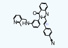 Cc1ncccc1CNc1cccc(-n2c(/C=C/c3ccc(C#N)cc3)nc3ccccc3c2=O)c1